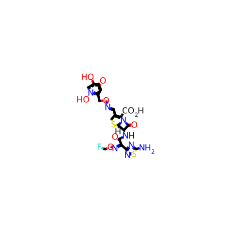 Nc1nc(/C(=N/OCF)C(=O)N[C@@H]2C(=O)N3C(C(=O)O)=C(/C=N/OCc4cc(=O)c(O)cn4O)CS[C@H]23)ns1